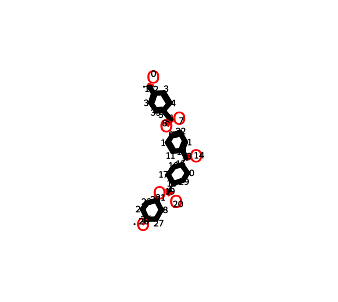 O=[C]c1ccc(C(=O)Oc2ccc(C(=O)[C@H]3CC[C@H](C(=O)O[C@H]4CC[C@H]([O])CC4)CC3)cc2)cc1